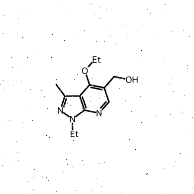 CCOc1c(CO)cnc2c1c(C)nn2CC